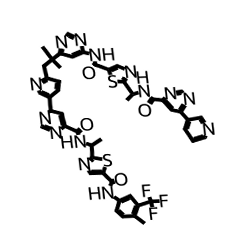 Cc1ccc(NC(=O)c2cnc(C(C)NC(=O)c3cc(-c4ccc(CC(C)(C)c5cc(NC(=O)c6cnc(C(C)NC(=O)c7cc(-c8cccnc8)ncn7)s6)ncn5)nc4)ncn3)s2)cc1C(F)(F)F